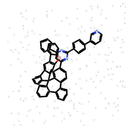 c1ccc(-c2cc(-c3ccc4c(c3)C3(c5ccccc5-c5ccccc5-4)c4ccccc4-c4cc5c(cc43)oc3ccccc35)nc(-c3ccc(-c4cccnc4)cc3)n2)cc1